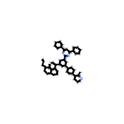 C=C/C=c1/ccc2cccc(/C(=C\C)c3cc(-c4ccc(-c5cccnc5C)cc4)cc(-c4nc(-c5ccccc5)cc(-c5ccccc5)n4)c3)c2c1=C